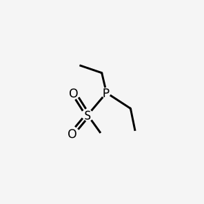 CCP(CC)S(C)(=O)=O